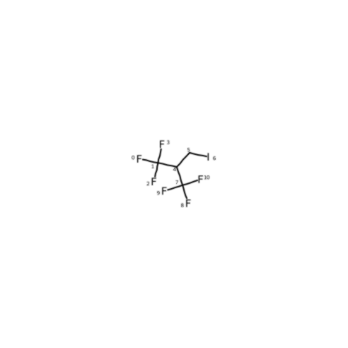 FC(F)(F)C(CI)C(F)(F)F